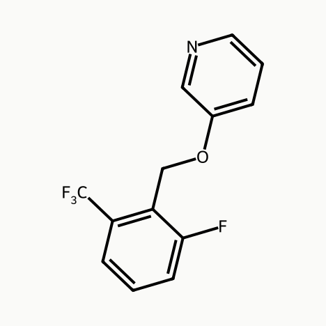 Fc1cccc(C(F)(F)F)c1COc1cccnc1